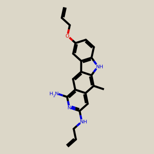 C=CCNc1cc2c(C)c3[nH]c4ccc(OCC=C)cc4c3cc2c(N)n1